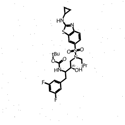 CC(C)CN(C[C@@H](O)C(Cc1cc(F)cc(F)c1)NC(=O)OC(C)(C)C)S(=O)(=O)c1ccc2nc(NC3CC3)sc2c1